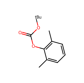 Cc1cccc(C)c1OC(=O)OC(C)(C)C